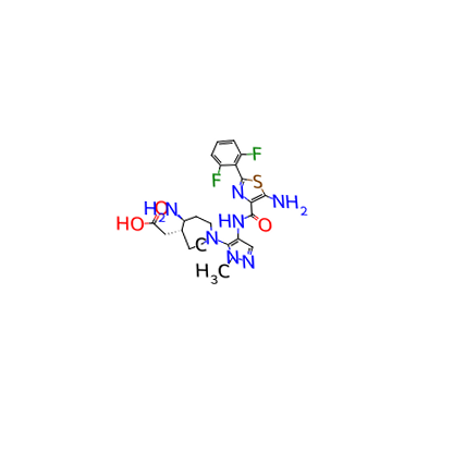 Cn1ncc(NC(=O)c2nc(-c3c(F)cccc3F)sc2N)c1N1CC[C@H](CC(=O)O)[C@@H](N)CC1